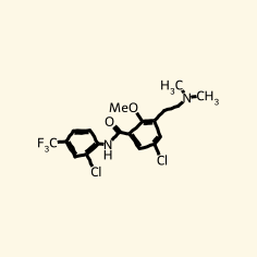 COc1c(CCN(C)C)cc(Cl)cc1C(=O)Nc1ccc(C(F)(F)F)cc1Cl